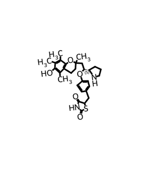 Cc1c(C)c2c(c(C)c1O)CCC(C)(CC(Oc1ccc(CC3SC(=O)NC3=O)cc1)[C@@H]1CCCN1)O2